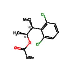 CNC(=O)O[C@@H](C)[C@@H](OC)c1c(Cl)cccc1Cl